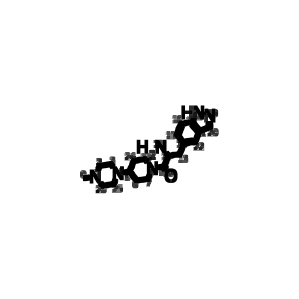 CN1CCN(C2CCN(C(=O)C(N)Cc3ccc4[nH]ncc4c3)CC2)CC1